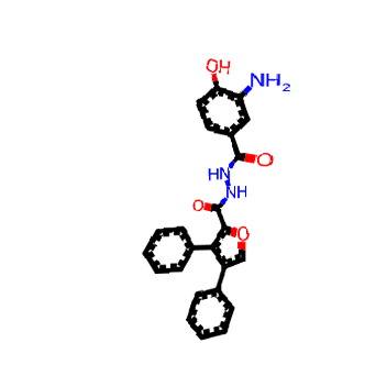 Nc1cc(C(=O)NNC(=O)c2occ(-c3ccccc3)c2-c2ccccc2)ccc1O